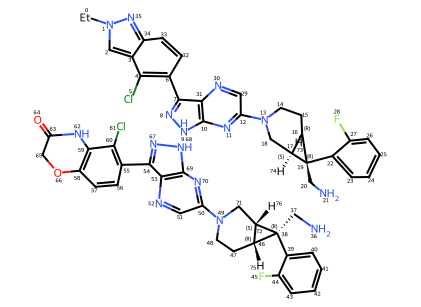 CCn1cc2c(Cl)c(-c3n[nH]c4nc(N5CC[C@@H]6[C@H](C5)[C@@]6(CN)c5ccccc5F)cnc34)ccc2n1.NC[C@]1(c2ccccc2F)[C@@H]2CCN(c3cnc4c(-c5ccc6c(c5Cl)NC(=O)CO6)n[nH]c4n3)C[C@@H]21